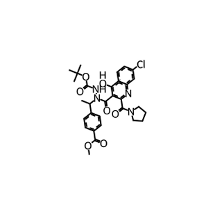 COC(=O)c1ccc(C(C)N(NC(=O)OC(C)(C)C)C(=O)c2c(C(=O)N3CCCC3)nc3cc(Cl)ccc3c2O)cc1